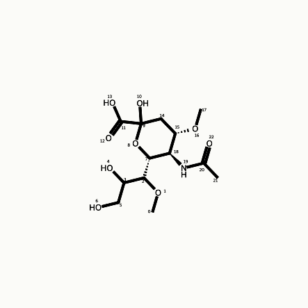 COC(C(O)CO)[C@@H]1OC(O)(C(=O)O)C[C@H](OC)[C@H]1NC(C)=O